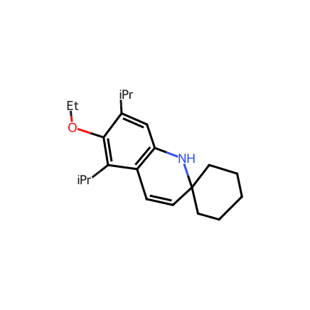 CCOc1c(C(C)C)cc2c(c1C(C)C)C=CC1(CCCCC1)N2